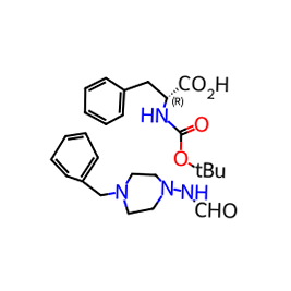 CC(C)(C)OC(=O)N[C@H](Cc1ccccc1)C(=O)O.O=CNN1CCN(Cc2ccccc2)CC1